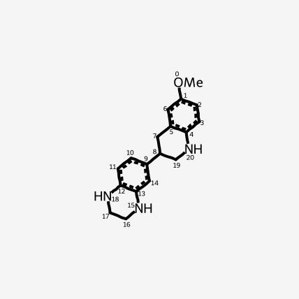 COc1ccc2c(c1)CC(c1ccc3c(c1)NCCN3)CN2